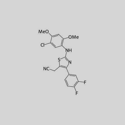 COc1cc(OC)c(Nc2nc(-c3ccc(F)c(F)c3)c(CC#N)s2)cc1Cl